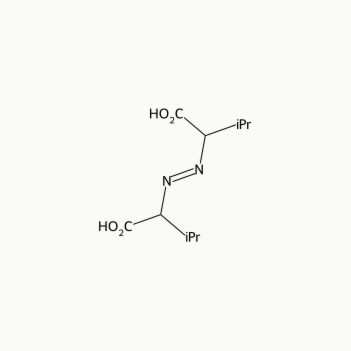 CC(C)C(N=NC(C(=O)O)C(C)C)C(=O)O